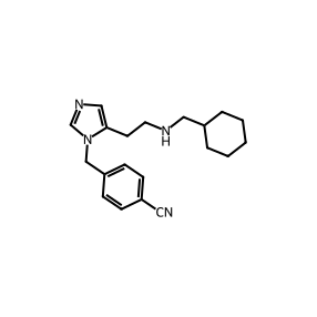 N#Cc1ccc(Cn2cncc2CCNCC2CCCCC2)cc1